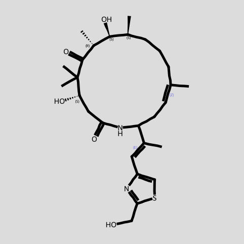 C/C1=C/CC(/C(C)=C/c2csc(CO)n2)NC(=O)C[C@H](O)C(C)(C)C(=O)[C@H](C)[C@@H](O)[C@@H](C)CCC1